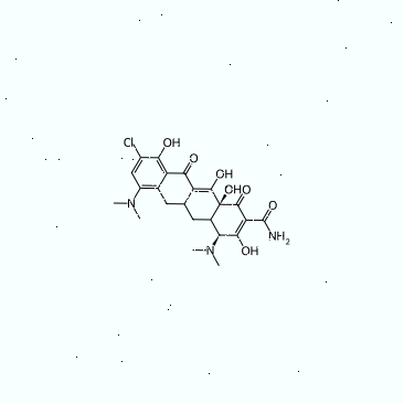 CN(C)c1cc(Cl)c(O)c2c1CC1CC3[C@H](N(C)C)C(O)=C(C(N)=O)C(=O)[C@@]3(O)C(O)=C1C2=O